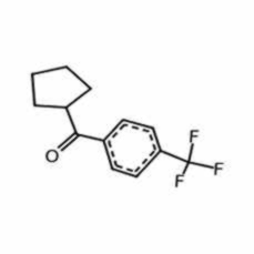 O=C(c1ccc(C(F)(F)F)cc1)C1CCCC1